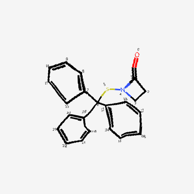 O=C1CCN1SC(c1ccccc1)(c1ccccc1)c1ccccc1